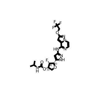 CC(C)NC(=O)O[C@H]1CO[C@@H](c2cc(Nc3nccn4nc(OCC(F)(F)F)cc34)n[nH]2)[C@H]1F